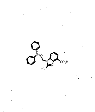 CC(C)(C)c1nc2c(C(=O)O)cccc2n1CO[SiH](c1ccccc1)c1ccccc1